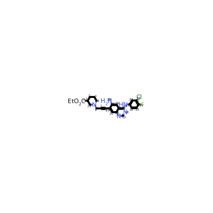 CCOC(=O)C1CCCN(CC#Cc2cc3ncnc(Nc4ccc(F)c(Cl)c4)c3cc2N)C1